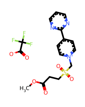 COC(=O)CCS(=O)(=O)C[n+]1ccc(-c2ncccn2)cc1.O=C([O-])C(F)(F)F